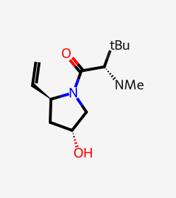 C=C[C@@H]1C[C@@H](O)CN1C(=O)[C@@H](NC)C(C)(C)C